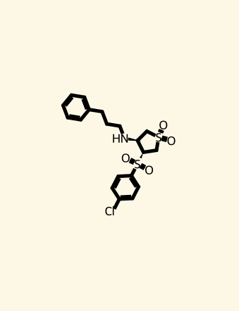 O=S1(=O)C[C@H](NCCCc2ccccc2)[C@@H](S(=O)(=O)c2ccc(Cl)cc2)C1